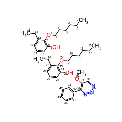 CCCCCCOc1c(O)cccc1CC.CCCCCCOc1c(O)cccc1CC.COc1cnnnc1-c1ccccc1